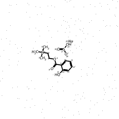 C[N+](C)(C)CCOC(=O)c1ccccc1O.O=S([O-])O.[Na]